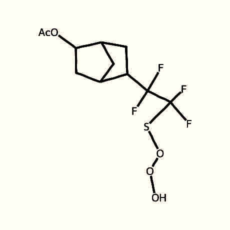 CC(=O)OC1CC2CC1CC2C(F)(F)C(F)(F)SOOO